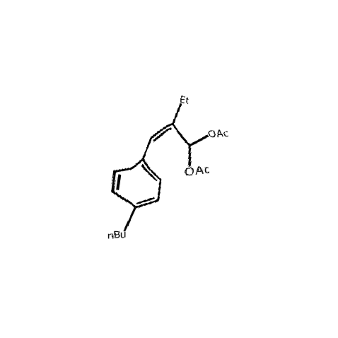 CCCCc1ccc(C=C(CC)C(OC(C)=O)OC(C)=O)cc1